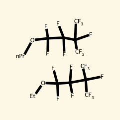 CCCOC(F)(F)C(F)(F)C(F)(C(F)(F)F)C(F)(F)F.CCOC(F)(F)C(F)(F)C(F)(C(F)(F)F)C(F)(F)F